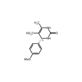 COc1ccc([C@H]2NC(=O)NC(C)=C2C(=O)O)cc1